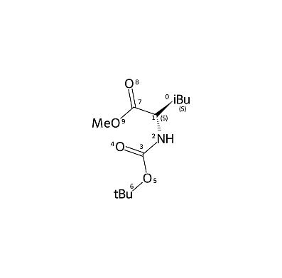 CC[C@H](C)[C@H](NC(=O)OC(C)(C)C)C(=O)OC